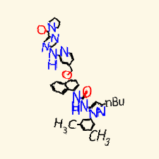 CCCCc1cc(NC(=O)Nc2ccc(OCc3ccnc(Nc4cnc(C(=O)N5CCCC5)cn4)c3)c3ccccc23)n(-c2cc(C)cc(C)c2)n1